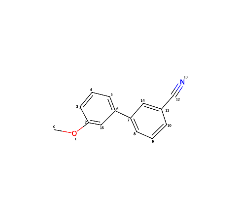 COc1[c]ccc(-c2cccc(C#N)c2)c1